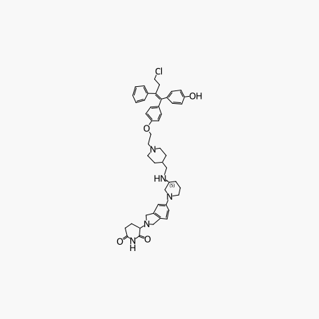 O=C1CCC(N2Cc3ccc(N4CCC[C@H](NCC5CCN(CCOc6ccc(C(=C(CCCl)c7ccccc7)c7ccc(O)cc7)cc6)CC5)C4)cc3C2)C(=O)N1